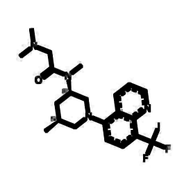 C[C@H]1C[C@@H](N(C)C(=O)CN(C)C)CN(c2ccc(C(F)(F)I)c3ncccc23)C1